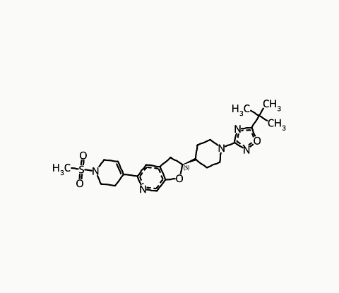 CC(C)(C)c1nc(N2CCC([C@@H]3Cc4cc(C5=CCN(S(C)(=O)=O)CC5)ncc4O3)CC2)no1